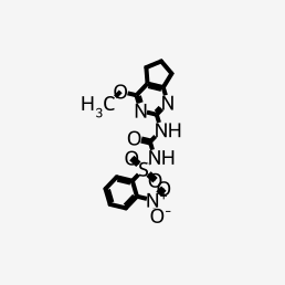 COc1nc(NC(=O)NS(=O)(=O)c2ccccc2[N+](=O)[O-])nc2c1CCC2